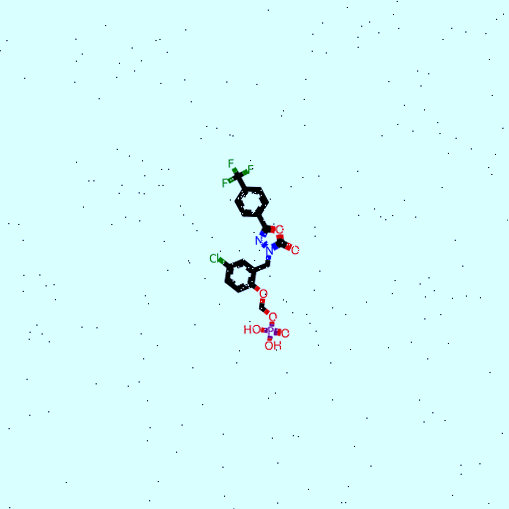 O=c1oc(-c2ccc(C(F)(F)F)cc2)nn1Cc1cc(Cl)ccc1OCOP(=O)(O)O